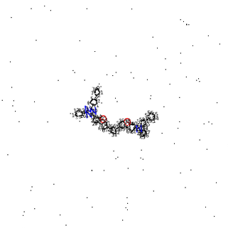 c1ccc(-c2ccc(-c3nc(-c4ccccc4)nc(-c4ccc5c(c4)oc4cc(-c6cccc(-c7ccc8oc9cc(-n%10c%11ccccc%11c%11cc(-c%12ccccc%12)ccc%11%10)ccc9c8c7)c6)ccc45)n3)cc2)cc1